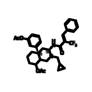 CC(=O)Oc1cccc([C@@]23CCCC(OC(C)=O)C2CN(CC2CC2)[C@H](NC(=O)C(=Cc2ccccc2)C(F)(F)F)C3)c1